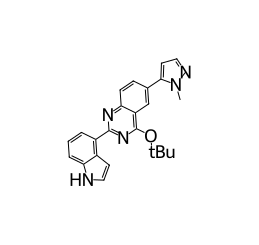 Cn1nccc1-c1ccc2nc(-c3cccc4[nH]ccc34)nc(OC(C)(C)C)c2c1